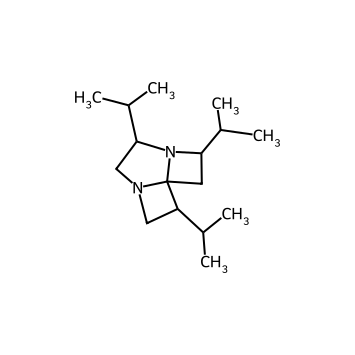 CC(C)C1CN2CC(C(C)C)C23CC(C(C)C)N13